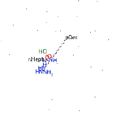 CCCCCCCCCCCCCCCCCCCCCC(=O)NC(CCCNC(=N)N)C(=O)NCCCCCCC.Cl